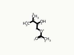 CC(=O)OCC(O)C(C)C